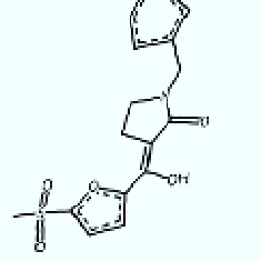 CS(=O)(=O)c1ccc(C(O)=C2CCN(Cc3ccccc3)C2=O)o1